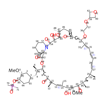 CO[C@@H]1C[C@H](C[C@@H](C)[C@@H]2CC(=O)[C@H](C)/C=C(\C)[C@@H](O)[C@@H](OC)C(=O)[C@H](C)C[C@H](C)/C=C/C=C/C=C(\C)C(OCCOC3COC3)C[C@@H]3CC[C@@H](C)[C@@](O)(O3)C(=O)C(=O)N3CCCC[C@H]3C(=O)O2)CC[C@H]1OP(C)(C)=O